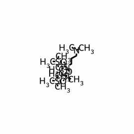 CN(C)CCC[Si](C)(O[Si](C)(C)C)O[Si](C)(C)O[Si](C)(C)C